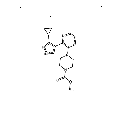 CC(C)(C)OC(=O)N1CCN(c2cccnc2-c2c[nH]nc2C2CC2)CC1